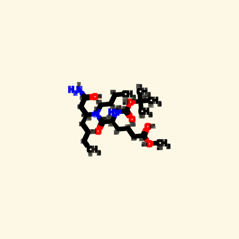 CCCC[C@@H](CC(N)=O)N(CCCC)C(=O)[C@H](CCCC(=O)OC)NC(=O)OC(C)(C)C